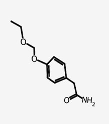 CCOCOc1ccc(CC(N)=O)cc1